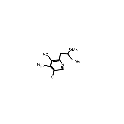 COC(Cc1ncc(Br)c(C)c1C#N)OC